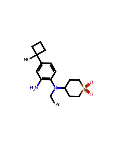 CC(C)CN(c1ccc(C2(C#N)CCC2)cc1N)C1CCS(=O)(=O)CC1